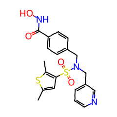 Cc1cc(S(=O)(=O)N(Cc2ccc(C(=O)NO)cc2)Cc2cccnc2)c(C)s1